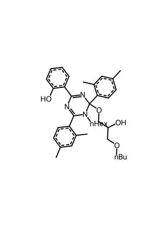 CCCCCCN1C(c2ccc(C)cc2C)=NC(c2ccccc2O)=NC1(OCC(O)COCCCC)c1ccc(C)cc1C